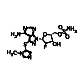 Cn1cncc1Sc1nn([C@@H]2O[C@H](COS(N)(=O)=O)[C@@H](O)[C@@H]2F)c2ncnc(N)c12